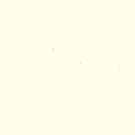 COC(=O)c1ccc2c(c1)Oc1cnc(OCc3c(-c4c(Cl)cccc4Cl)noc3C3CC3)cc1CC2